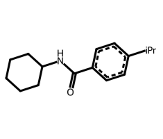 CC(C)c1ccc(C(=O)NC2CCCCC2)cc1